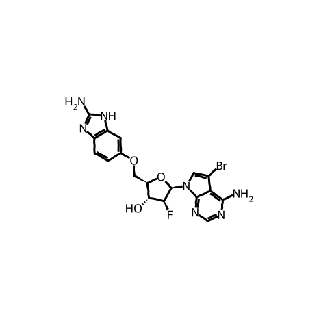 Nc1nc2ccc(OC[C@H]3O[C@@H](n4cc(Br)c5c(N)ncnc54)[C@@H](F)[C@@H]3O)cc2[nH]1